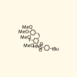 COc1cc(/C=C\c2cc(F)c(OC)c(NS(=O)(=O)c3ccc(C(C)(C)C)cc3)c2)cc(OC)c1OC